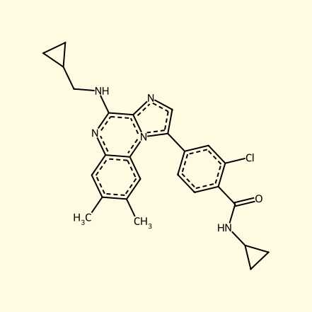 Cc1cc2nc(NCC3CC3)c3ncc(-c4ccc(C(=O)NC5CC5)c(Cl)c4)n3c2cc1C